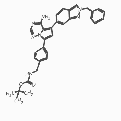 CC(C)(C)OC(=O)NCc1ccc(-c2cc(-c3ccc4cn(Cc5ccccc5)nc4c3)c3c(N)ncnn23)cc1